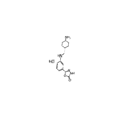 Cl.N[C@H]1CC[C@H](CNc2cccc(-c3n[nH]c(=O)o3)c2)CC1